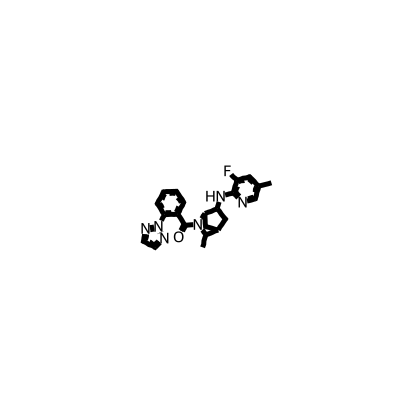 Cc1cnc(NC2CC3CC2N(C(=O)c2ccccc2-n2nccn2)C3C)c(F)c1